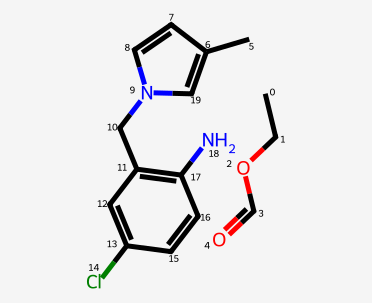 CCOC=O.Cc1ccn(Cc2cc(Cl)ccc2N)c1